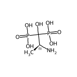 C[C@H](N)C(O)(P(=O)(O)O)P(=O)(O)O